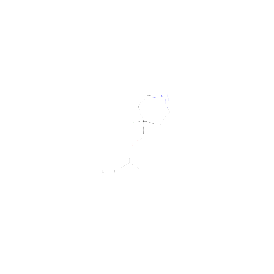 CC(C)OCC1(F)CCNCC1